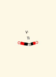 [O]=[Ti]=[O].[Ti].[V]